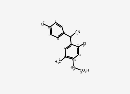 Cc1cc(C(C#N)c2ccc(Cl)cc2)c(Cl)cc1NC(=O)O